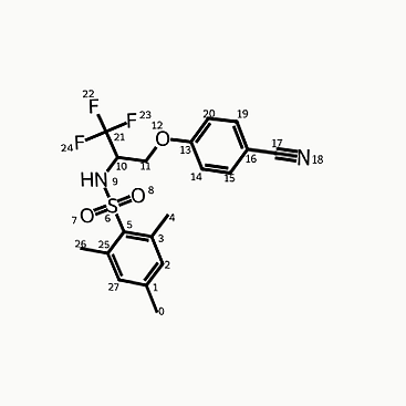 Cc1cc(C)c(S(=O)(=O)NC(COc2ccc(C#N)cc2)C(F)(F)F)c(C)c1